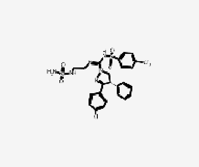 NS(=O)(=O)NCC/N=C(/NS(=O)(=O)c1ccc(C(F)(F)F)cc1)N1C[C@H](c2ccccc2)C(c2ccc(Cl)cc2)=N1